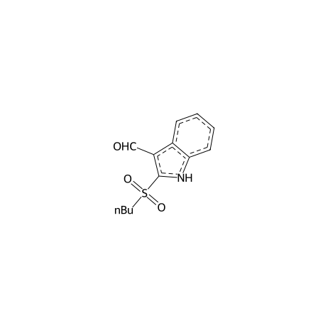 CCCCS(=O)(=O)c1[nH]c2ccccc2c1C=O